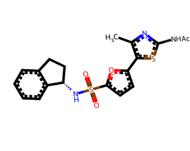 CC(=O)Nc1nc(C)c(-c2ccc(S(=O)(=O)N[C@H]3CCc4ccccc43)o2)s1